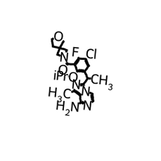 Cc1nc(C(C)c2cc(Cl)c(F)c(C(=O)N3CC4(CCOC4)C3)c2OC(C)C)n2ccnc(N)c12